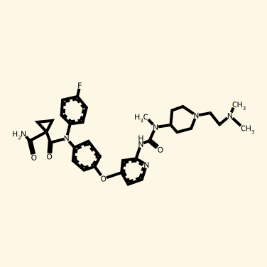 CN(C)CCN1CCC(N(C)C(=O)Nc2cc(Oc3ccc(N(C(=O)C4(C(N)=O)CC4)c4ccc(F)cc4)cc3)ccn2)CC1